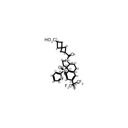 O=C(O)C1CC2(C1)CC(C(=O)N1CCC3(S(=O)(=O)c4ccccn4)c4ccc(C(F)(C(F)(F)F)C(F)(F)F)cc4CCC13)C2